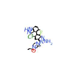 C=CC(=O)N1CCN(c2nc(N)nc3c(F)c(-c4c(C)ccc5[nH]ncc45)c(Cl)cc23)[C@@H](C)C1